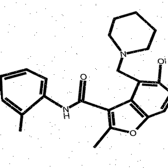 Cc1ccccc1NC(=O)c1c(C)oc2ccc(O)c(CN3CCCCC3)c12